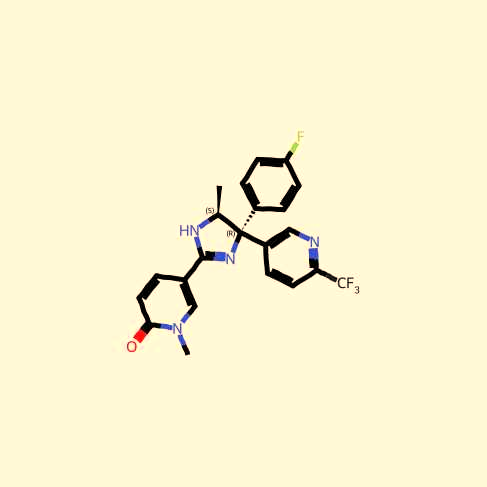 C[C@@H]1NC(c2ccc(=O)n(C)c2)=N[C@]1(c1ccc(F)cc1)c1ccc(C(F)(F)F)nc1